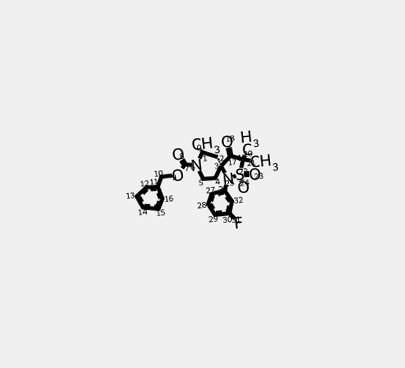 C[C@H]1C[C@]2(CCN1C(=O)OCc1ccccc1)C(=O)C(C)(C)S(=O)(=O)N2c1cccc(F)c1